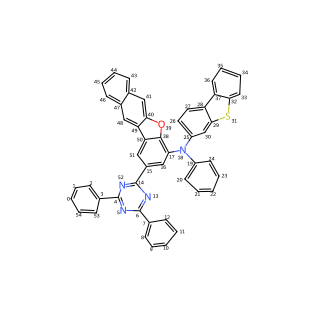 c1ccc(-c2nc(-c3ccccc3)nc(-c3cc(N(c4ccccc4)c4ccc5c(c4)sc4ccccc45)c4oc5cc6ccccc6cc5c4c3)n2)cc1